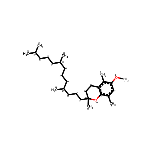 COc1cc(C)c2c(c1C)CCC(C)(CCCC(C)CCCC(C)CCCC(C)C)O2